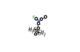 CC1(C)C2=C(c3ccccc31)C(C)(C)c1cc(-c3ccc(N(c4ccc(F)cc4)c4ccc(-c5ccccc5)cc4)cc3)ccc12